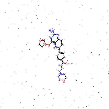 Nc1nc(O[C@H]2CCOC2)c2nc(-c3ccc(C(=O)NCCN4CCOCC4)cc3)ccc2n1